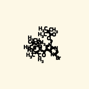 CC(C)(C)C(=O)OCn1cc(C(=O)N(O[Si](C)(C)C(C)(C)C)C(C)(C)C)c2nc(Br)cnc21